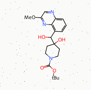 COc1cnc2cccc(C(O)C3(O)CCN(C(=O)OC(C)(C)C)CC3)c2n1